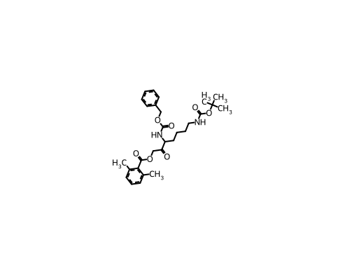 Cc1cccc(C)c1C(=O)OCC(=O)C(CCCCNC(=O)OC(C)(C)C)NC(=O)OCc1ccccc1